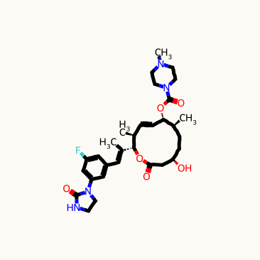 C/C(=C\c1cc(F)cc(N2CCNC2=O)c1)[C@H]1OC(=O)C[C@H](O)CC[C@H](C)[C@@H](OC(=O)N2CCN(C)CC2)/C=C/[C@@H]1C